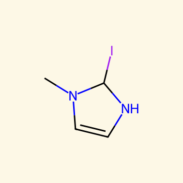 CN1C=CNC1I